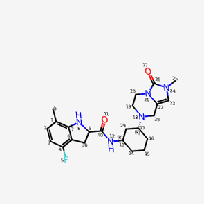 Cc1ccc(F)c2c1NC(C(=O)N[C@@H]1CCC[C@@H](N3CCn4c(cn(C)c4=O)C3)C1)C2